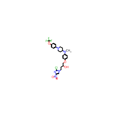 CN(c1ccc(OCC(O)CCn2cc([N+](=O)[O-])nc2Cl)cc1)C1CCN(c2ccc(OC(F)(F)F)cc2)CC1